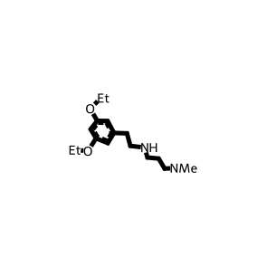 CCOc1cc(CCNCCCNC)cc(OCC)c1